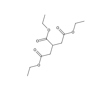 CCOC(=O)CC(CC(=O)OCC)C(=O)OCC